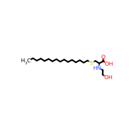 CCCCCCCCCCCCCCCCSCC(NCCO)C(=O)O